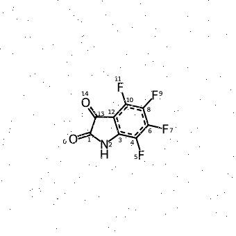 O=C1Nc2c(F)c(F)c(F)c(F)c2C1=O